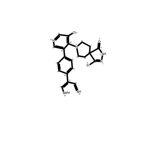 CCC1=NNC(=O)C12CCN(c1c(Cl)cncc1-c1ccc(/C(C=N)=C/NC)cc1)CC2